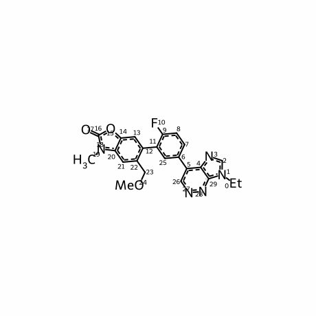 CCn1cnc2c(-c3ccc(F)c(-c4cc5oc(=O)n(C)c5cc4COC)c3)cnnc21